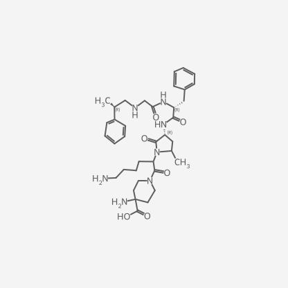 CC1C[C@@H](NC(=O)[C@@H](Cc2ccccc2)NC(=O)CNC[C@H](C)c2ccccc2)C(=O)N1C(CCCCN)C(=O)N1CCC(N)(C(=O)O)CC1